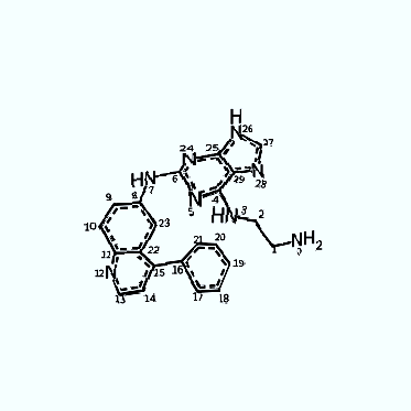 NCCNc1nc(Nc2ccc3nccc(-c4ccccc4)c3c2)nc2[nH]cnc12